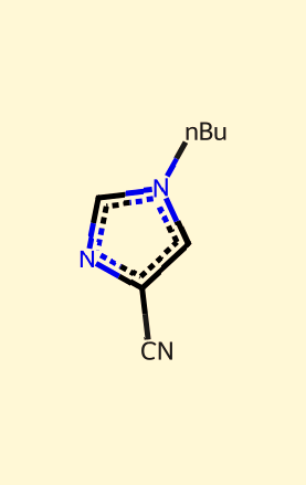 CCCCn1cnc(C#N)c1